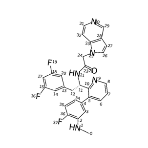 CNc1cc(-c2cccnc2[C@H](Cc2cc(F)cc(F)c2)NC(=O)Cn2ccc3cnccc32)ccc1F